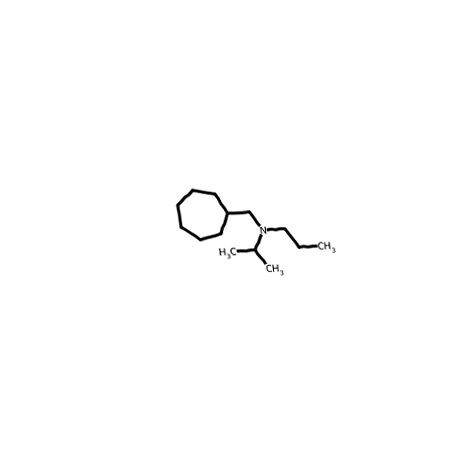 CCCN(CC1CCCCCC1)C(C)C